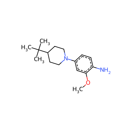 COc1cc(N2CCC(C(C)(C)C)CC2)ccc1N